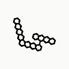 c1ccc2cc3cc4cc5c(ccc6cc7cc8cccc(-c9c%10ccccc%10cc%10cc%11ccccc%11cc9%10)c8cc7cc65)cc4cc3cc2c1